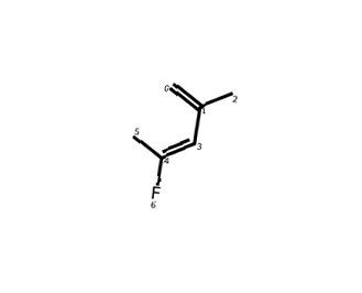 C=C(C)/C=C(\C)F